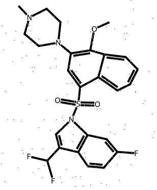 COc1c(N2CCN(C)CC2)cc(S(=O)(=O)n2cc(C(F)F)c3ccc(F)cc32)c2ccccc12